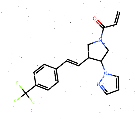 C=CC(=O)N1CC(/C=C/c2ccc(C(F)(F)F)cc2)C(n2cccn2)C1